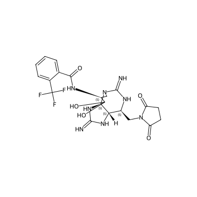 N=C1N[C@H]2[C@H](CN3C(=O)CCC3=O)NC(=N)N3C[C@H](NC(=O)c4ccccc4C(F)(F)F)C(O)(O)[C@]23N1